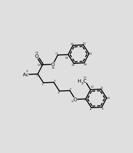 CC(=O)C(CCCCOc1ccccc1C)C(=O)OCc1ccccc1